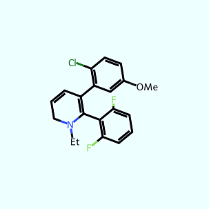 CCN1CC=CC(c2cc(OC)ccc2Cl)=C1c1c(F)cccc1F